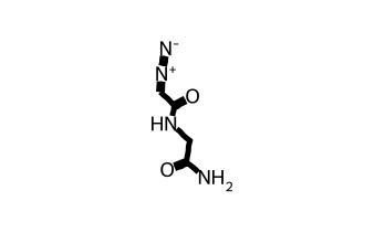 [N-]=[N+]=CC(=O)NCC(N)=O